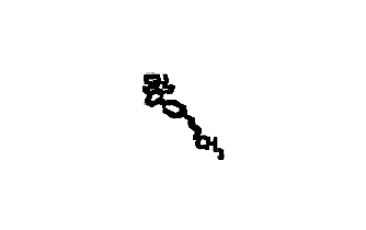 CCCCC[C@H]1CC[C@H]([C@H]2CC[C@H](C[SiH3])CC2)CC1